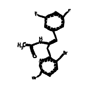 CC(=O)NC(=Cc1cc(F)cc(F)c1)c1nc(Br)ccc1Br